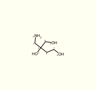 NCC(O)(CO)CCO